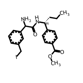 CCC[C@@H](NC(=O)C(N)c1cccc(CI)c1)c1ccc(C(=O)OC)cc1